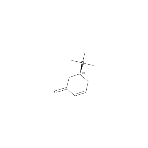 C[Si](C)(C)[C@H]1CC=CC(=O)C1